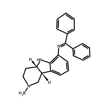 BN1CC[C@@H]2Nc3c(N=C(c4ccccc4)c4ccccc4)cccc3[C@@H]2C1